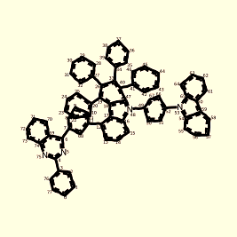 c1ccc(-c2nc(-c3cccc(-c4cccc5c4c4c(-c6ccccc6)c(-c6ccccc6)c(-c6ccccc6)c(-c6ccccc6)c4n5-c4ccc(-n5c6ccccc6c6ccccc65)cc4)c3)c3ccccc3n2)cc1